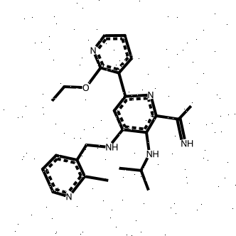 CCOc1ncccc1-c1cc(NCc2cccnc2C)c(NC(C)C)c(C(C)=N)n1